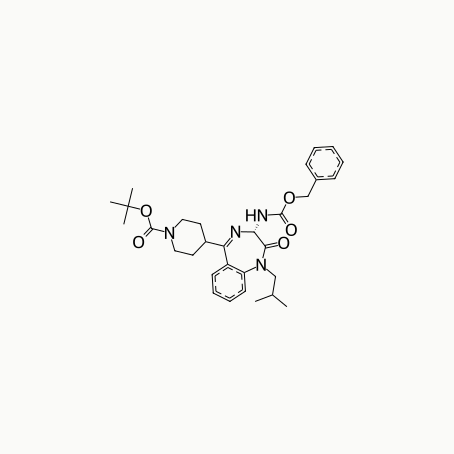 CC(C)CN1C(=O)[C@@H](NC(=O)OCc2ccccc2)N=C(C2CCN(C(=O)OC(C)(C)C)CC2)c2ccccc21